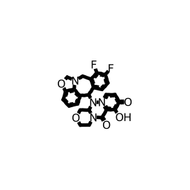 O=C1c2c(O)c(=O)ccn2N(C2c3ccc(F)c(F)c3CN3COc4cccc2c43)C2COCCN12